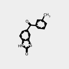 Cc1cccc(C(=O)c2ccc3[nH]c(=O)sc3c2)c1